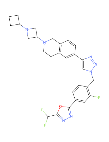 Fc1cc(-c2nnc(C(F)F)o2)ccc1Cn1cc(-c2ccc3c(c2)CCN(C2CN(C4CCC4)C2)C3)nn1